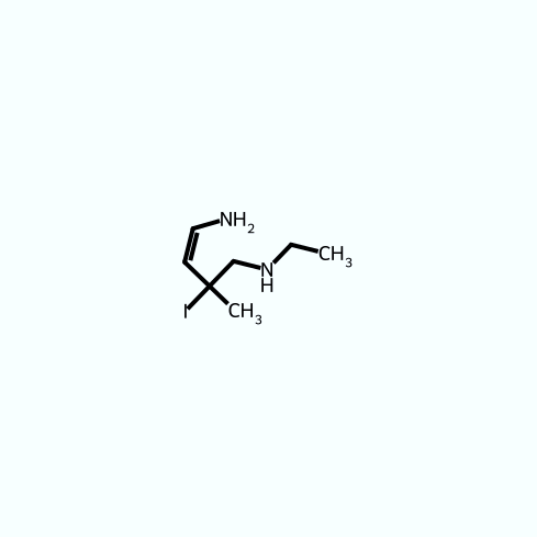 CCNCC(C)(I)/C=C\N